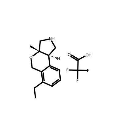 CCc1cccc2c1CO[C@]1(C)CNC[C@@H]21.O=C(O)C(F)(F)F